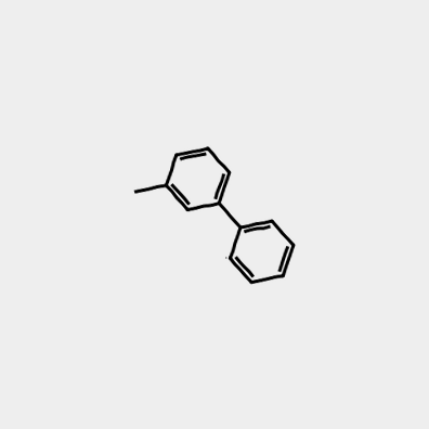 Cc1cccc(-c2[c]cccc2)c1